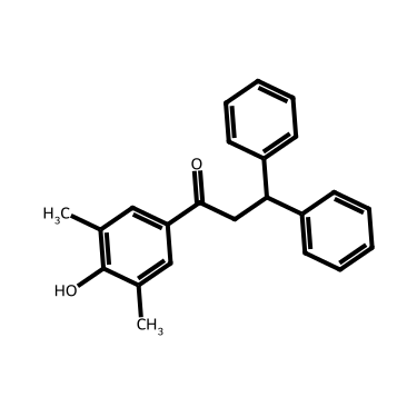 Cc1cc(C(=O)CC(c2ccccc2)c2ccccc2)cc(C)c1O